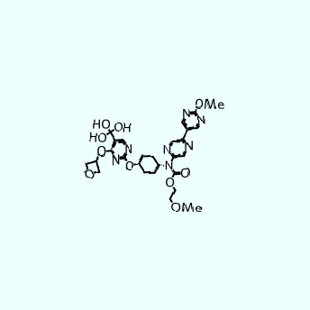 COCCOC(=O)N(c1cnc(-c2cnc(OC)nc2)cn1)[C@H]1CC[C@H](Oc2ncc(C(O)(O)O)c(OC3COC3)n2)CC1